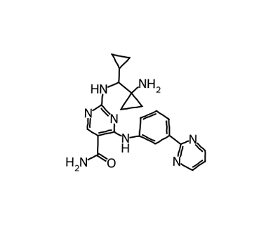 NC(=O)c1cnc(NC(C2CC2)C2(N)CC2)nc1Nc1cccc(-c2ncccn2)c1